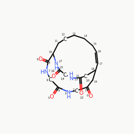 O=C1CNC(=O)CNC(=O)C2CCCCCC=CC(C1)CC(=O)NCC(=O)N2